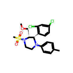 COC[C@@H]1[C@H](c2ccc(Cl)cc2Cl)N(c2ccc(C)cc2)CCN1S(C)(=O)=O